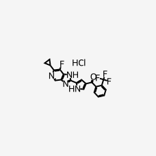 Cl.O=C(c1c[nH]c(-c2nc3cnc(C4CC4)c(F)c3[nH]2)c1)c1ccccc1C(F)(F)F